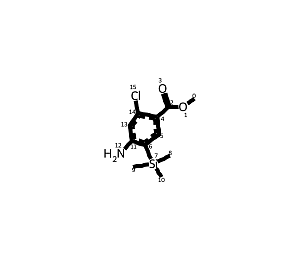 COC(=O)c1cc([Si](C)(C)C)c(N)cc1Cl